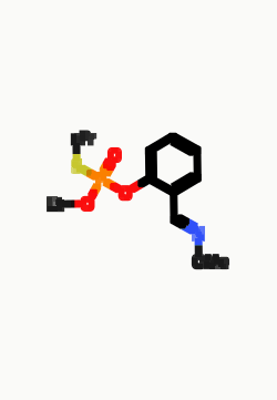 CCCSP(=O)(OCC)Oc1ccccc1C=NOC